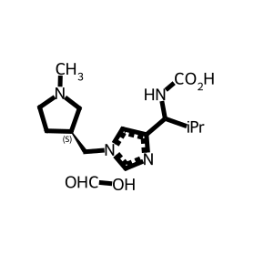 CC(C)C(NC(=O)O)c1cn(C[C@H]2CCN(C)C2)cn1.O=CO